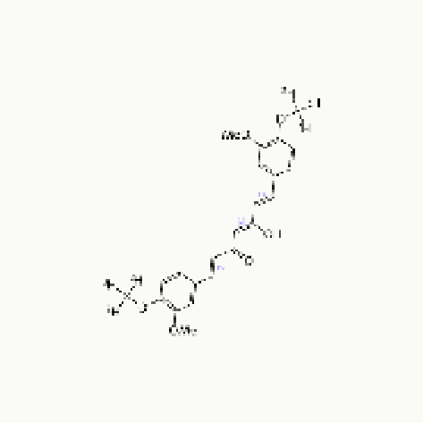 [2H]C([2H])([2H])Oc1ccc(/C=C/C(=O)/C=C(O)/C=C/c2ccc(OC([2H])([2H])[2H])c(OC)c2)cc1OC